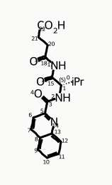 CC(C)[C@H](NC(=O)c1ccc2ccccc2n1)C(=O)NC(=O)CCC(=O)O